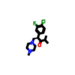 CC(C)C(=O)[C@@H](CN1CCN(C)CC1)c1ccc(Cl)c(F)c1